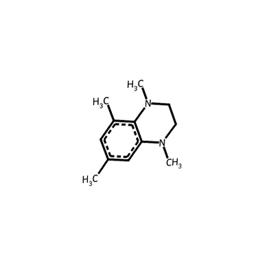 Cc1cc(C)c2c(c1)N(C)CCN2C